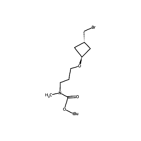 CN(CCCO[C@H]1C[C@H](CBr)C1)C(=O)OC(C)(C)C